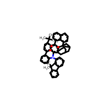 CC(C)(C)c1ccc(-c2ccccc2N(c2ccc(-c3cccc4cccc(C56CC7CC(CC(C7)C5)C6)c34)cc2)c2cccc3c2C(C)(C)c2ccccc2-3)cc1